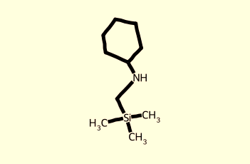 C[Si](C)(C)CNC1CCCCC1